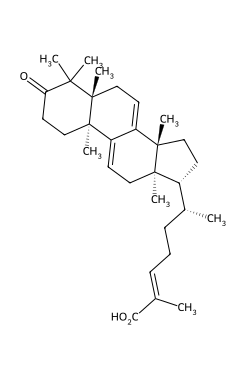 C/C(=C\CC[C@@H](C)[C@H]1CC[C@@]2(C)C3=CC[C@@]4(C)C(C)(C)C(=O)CC[C@]4(C)C3=CC[C@]12C)C(=O)O